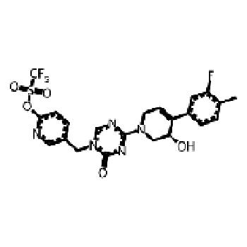 Cc1ccc(C2=CCN(c3ncn(Cc4ccc(OS(=O)(=O)C(F)(F)F)nc4)c(=O)n3)C[C@@H]2O)cc1F